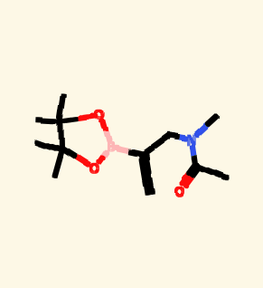 C=C(CN(C)C(C)=O)B1OC(C)(C)C(C)(C)O1